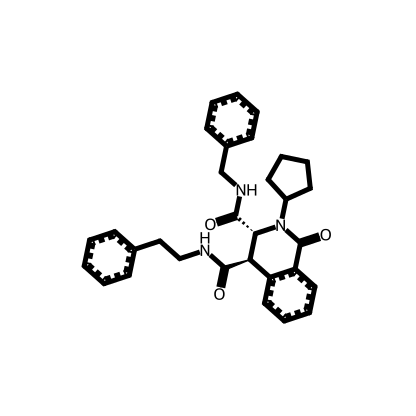 O=C(NCCc1ccccc1)[C@@H]1c2ccccc2C(=O)N(C2CCCC2)[C@H]1C(=O)NCc1ccccc1